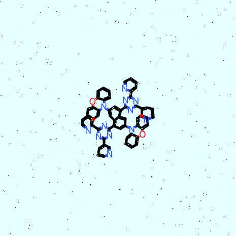 c1ccc(-c2nc(-c3cccnc3)nc(-c3cc(N4c5ccccc5Oc5ccccc54)cc4c(-c5nc(-c6cccnc6)nc(-c6ccccn6)n5)cc(N5c6ccccc6Oc6ccccc65)cc34)n2)nc1